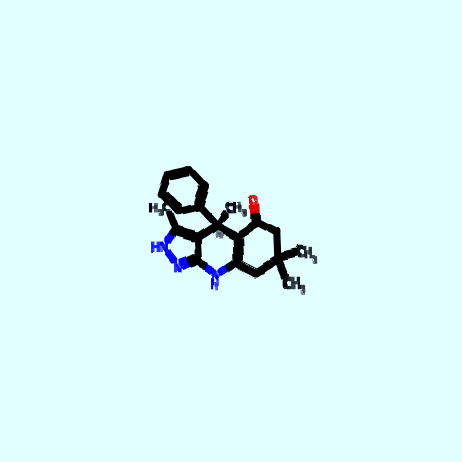 Cc1[nH]nc2c1[C@](C)(c1ccccc1)C1=C(CC(C)(C)CC1=O)N2